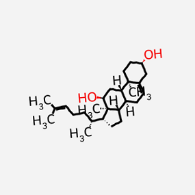 CC(C)=CCC[C@@H](C)[C@H]1CC[C@H]2[C@@H]3CC=C4C[C@@H](O)CC[C@]4(C)[C@H]3C[C@H](O)[C@]12C